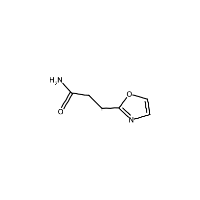 NC(=O)C[CH]c1ncco1